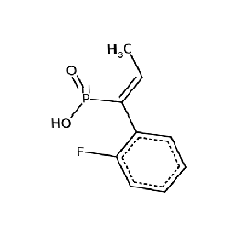 CC=C(c1ccccc1F)[PH](=O)O